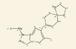 Cc1cc2cnn(PI)c2cc1C1=CCC2(CC1)OCCO2